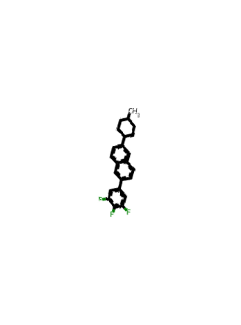 CC1CCC(c2ccc3cc(-c4cc(F)c(F)c(F)c4)ccc3c2)CC1